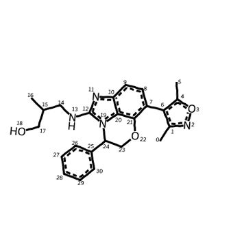 Cc1noc(C)c1-c1ccc2nc(NCC(C)CO)n3c2c1OCC3c1ccccc1